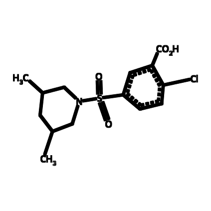 CC1CC(C)CN(S(=O)(=O)c2ccc(Cl)c(C(=O)O)c2)C1